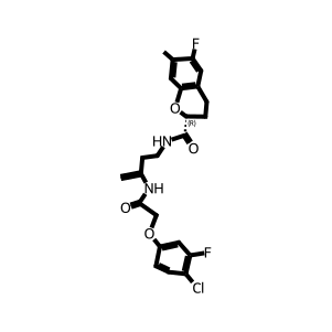 C=C(CCNC(=O)[C@H]1CCc2cc(F)c(C)cc2O1)NC(=O)COc1ccc(Cl)c(F)c1